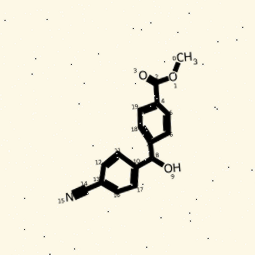 COC(=O)c1ccc(C(O)c2ccc(C#N)cc2)cc1